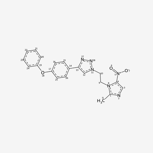 Cc1ncc([N+](=O)[O-])n1CCn1cc(-c2ccc(Oc3ccccc3)cc2)nn1